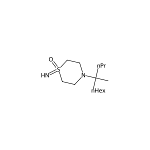 CCCCCCC(C)(CCC)N1CCS(=N)(=O)CC1